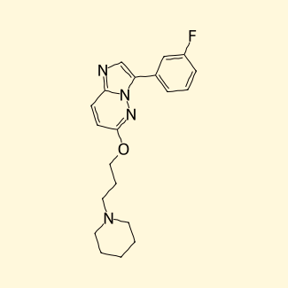 Fc1cccc(-c2cnc3ccc(OCCCN4CCCCC4)nn23)c1